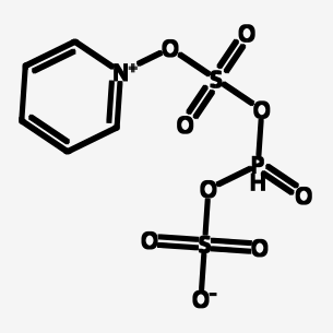 O=[PH](OS(=O)(=O)[O-])OS(=O)(=O)O[n+]1ccccc1